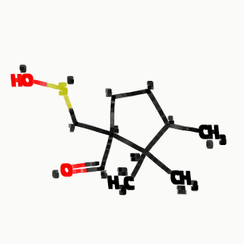 CC1CCC(C=O)(CSO)C1(C)C